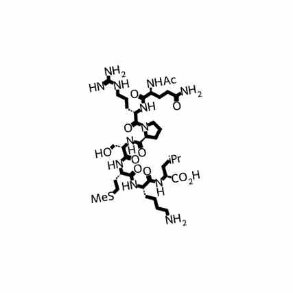 CSCC[C@H](NC(=O)[C@H](CO)NC(=O)[C@@H]1CCCN1C(=O)[C@H](CCCNC(=N)N)NC(=O)[C@H](CCC(N)=O)NC(C)=O)C(=O)N[C@@H](CCCCN)C(=O)N[C@@H](CC(C)C)C(=O)O